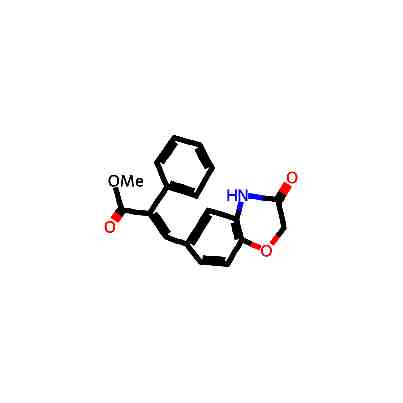 COC(=O)C(=Cc1ccc2c(c1)NC(=O)CO2)c1ccccc1